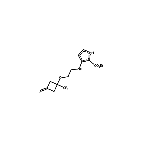 CCOC(=O)c1[nH]ccc1NCCOC1(C(F)(F)F)CC(=O)C1